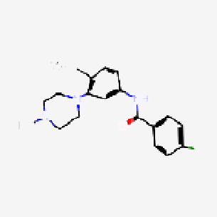 COc1ccc(NC(=O)c2ccc(Cl)cc2)cc1N1CCN(C)CC1